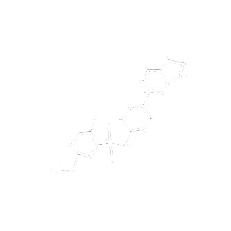 COc1ccc(F)c(S(=O)(=O)Nc2ccc(-c3ccc4cn[nH]c4c3)nc2)c1